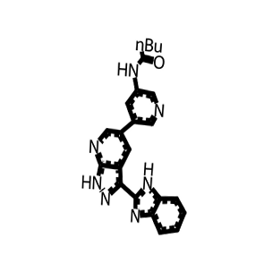 CCCCC(=O)Nc1cncc(-c2cnc3[nH]nc(-c4nc5ccccc5[nH]4)c3c2)c1